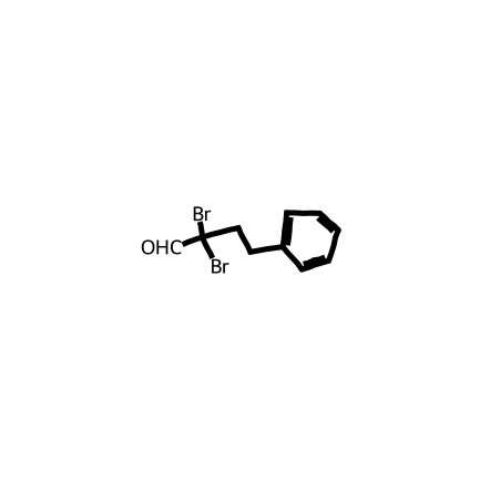 O=CC(Br)(Br)CCc1ccccc1